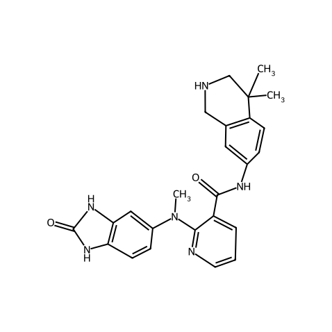 CN(c1ccc2[nH]c(=O)[nH]c2c1)c1ncccc1C(=O)Nc1ccc2c(c1)CNCC2(C)C